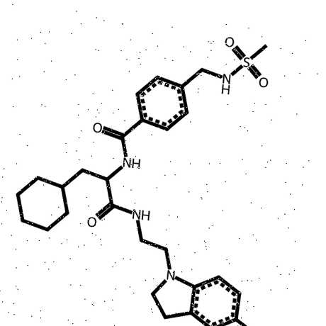 CS(=O)(=O)NCc1ccc(C(=O)NC(CC2CCCCC2)C(=O)NCCN2CCc3cc(F)ccc32)cc1